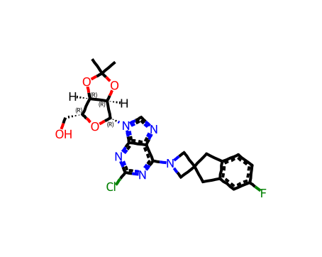 CC1(C)O[C@@H]2[C@H](O1)[C@@H](CO)O[C@H]2n1cnc2c(N3CC4(Cc5ccc(F)cc5C4)C3)nc(Cl)nc21